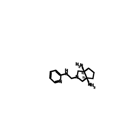 N[C@@]12CCC[C@]1(N)CN(CNc1ccccn1)C2